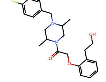 CC1CN(C(=O)COc2ccccc2CCO)C(C)CN1Cc1ccc(F)cc1